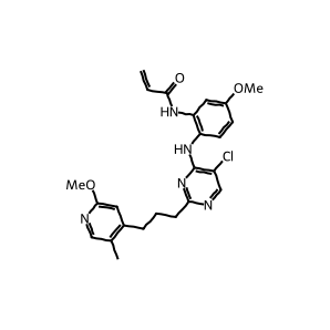 C=CC(=O)Nc1cc(OC)ccc1Nc1nc(CCCc2cc(OC)ncc2C)ncc1Cl